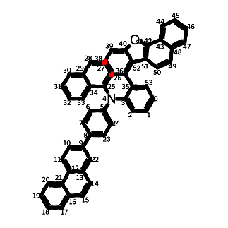 c1ccc(N(c2ccc(-c3ccc4c(ccc5ccccc54)c3)cc2)c2cccc3ccccc23)c(-c2cccc3oc4c5ccccc5ccc4c23)c1